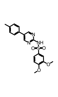 COc1ccc(S(=O)(=O)Nc2ncc(-c3ccc(C)cc3)cn2)cc1OC